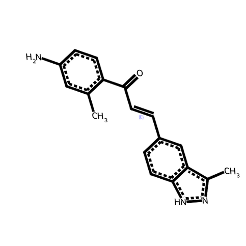 Cc1cc(N)ccc1C(=O)/C=C/c1ccc2[nH]nc(C)c2c1